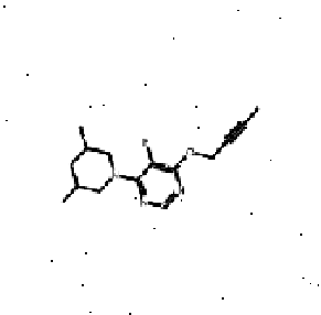 CC#CCOc1ncnc(N2CC(C)CC(C)C2)c1F